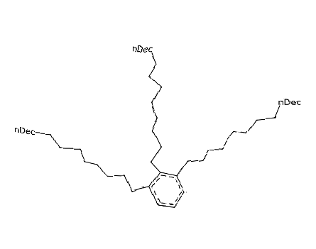 CCCCCCCCCCCCCCCCCCc1[c]ccc(CCCCCCCCCCCCCCCCCC)c1CCCCCCCCCCCCCCCCCC